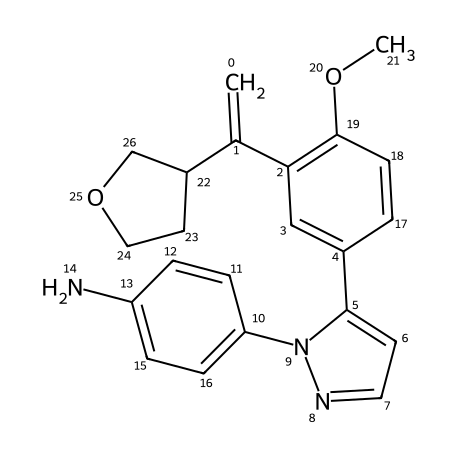 C=C(c1cc(-c2ccnn2-c2ccc(N)cc2)ccc1OC)C1CCOC1